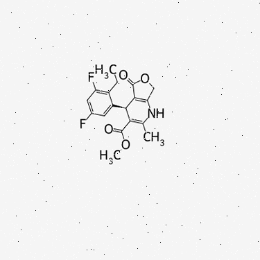 CCc1c(F)cc(F)cc1[C@@H]1C(C(=O)OC)=C(C)NC2=C1C(=O)OC2